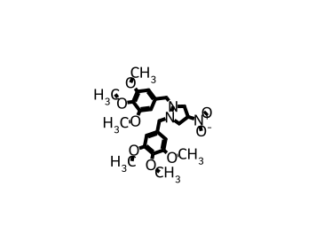 COc1cc(CN2CC([N+](=O)[O-])CN2Cc2cc(OC)c(OC)c(OC)c2)cc(OC)c1OC